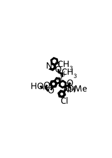 COC(=O)C1(Nc2cccc(Cl)c2)CCC2(CC1)c1cc3c(cc1C[C@@H]2C[C@@H](C)COc1ccnc2c1[C@H](C)CCC2)O[C@@H](CO)CO3